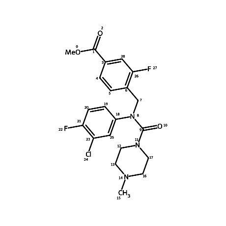 COC(=O)c1ccc(CN(C(=O)N2CCN(C)CC2)c2ccc(F)c(Cl)c2)c(F)c1